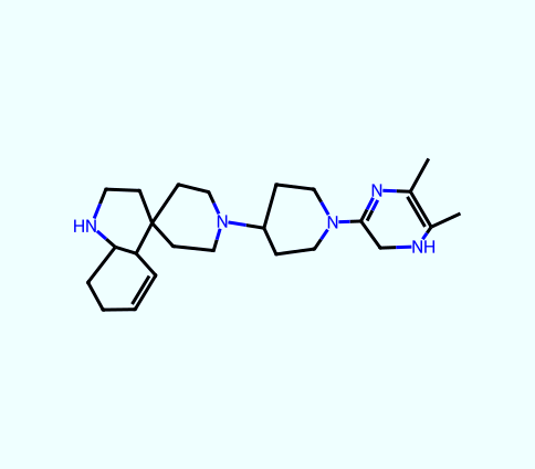 CC1=C(C)NCC(N2CCC(N3CCC4(CCNC5CCC=CC54)CC3)CC2)=N1